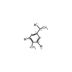 Cc1c(Br)cc(C(C)Br)cc1Br